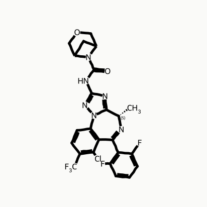 C[C@@H]1N=C(c2c(F)cccc2F)c2c(ccc(C(F)(F)F)c2Cl)-n2nc(NC(=O)N3C4COCC3C4)nc21